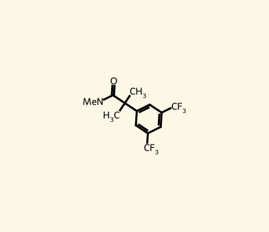 CNC(=O)C(C)(C)c1cc(C(F)(F)F)cc(C(F)(F)F)c1